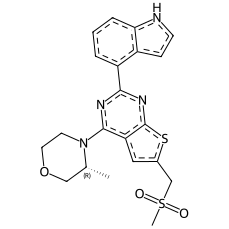 C[C@@H]1COCCN1c1nc(-c2cccc3[nH]ccc23)nc2sc(CS(C)(=O)=O)cc12